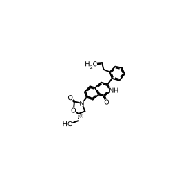 C=CCc1ccccc1-c1cc2ccc(N3C[C@H](CO)OC3=O)cc2c(=O)[nH]1